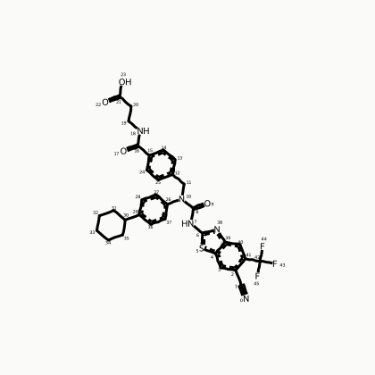 N#Cc1cc2sc(NC(=O)N(Cc3ccc(C(=O)NCCC(=O)O)cc3)c3ccc(C4CCCCC4)cc3)nc2cc1C(F)(F)F